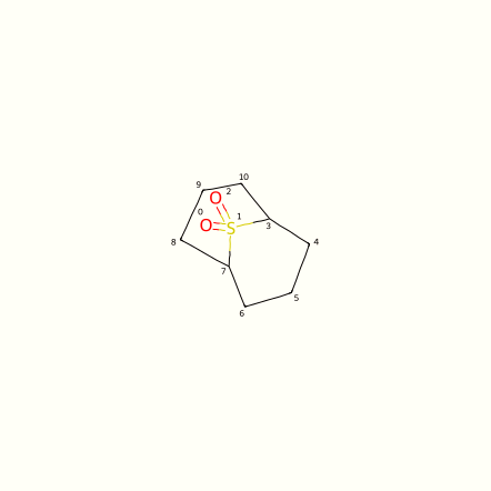 O=S1(=O)C2CCCC1CCC2